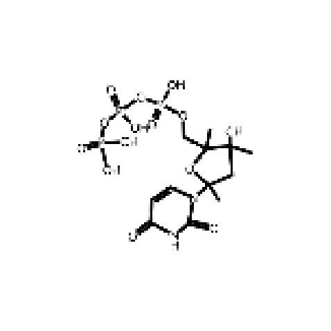 CC1(n2ccc(=O)[nH]c2=O)CC(C)(O)C(C)(COP(=O)(O)OP(=O)(O)OP(=O)(O)O)O1